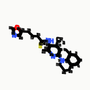 Cc1cccc2c1N(c1cc(C(F)(F)F)c(NC(=S)CCCc3cnco3)c(C)n1)CCC2